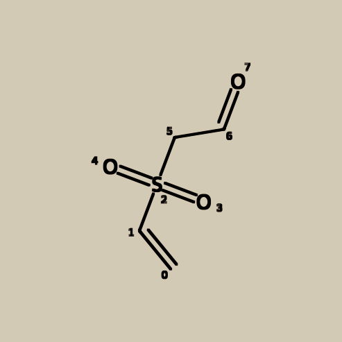 C=CS(=O)(=O)CC=O